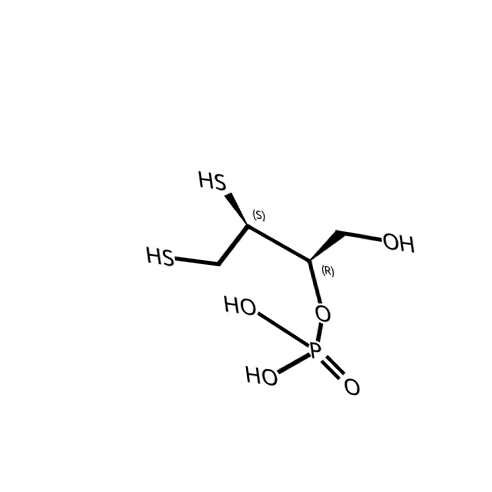 O=P(O)(O)O[C@H](CO)[C@H](S)CS